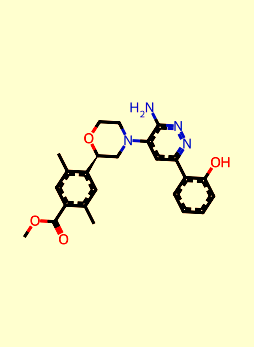 COC(=O)c1cc(C)c([C@@H]2CN(c3cc(-c4ccccc4O)nnc3N)CCO2)cc1C